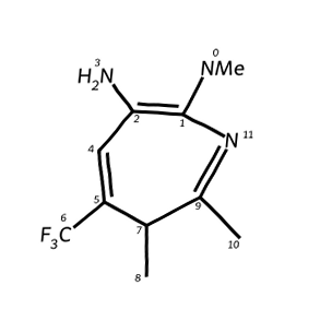 CNC1=C(N)C=C(C(F)(F)F)C(C)C(C)=N1